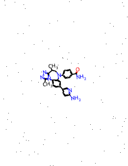 Cc1nnc2n1-c1ccc(-c3ccc(N)nc3)cc1N(c1ccc(C(N)=O)cc1)CC2C